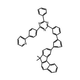 CC1(C)c2ccc(-c3cccc(-c4cccc(-c5nc(-c6ccccc6)nc(-c6ccc(-c7ccccn7)cc6)n5)c4)c3)cc2-c2c1ccc1ccccc21